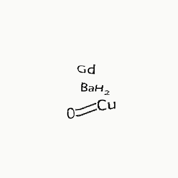 [BaH2].[Gd].[O]=[Cu]